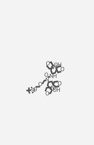 CC(C)(C)[Si](C)(C)OCCOCCN(C(=O)NC1CC2(CCOCC2)N(O)C2(CCOCC2)C1)C1CC2(CCOCC2)N(O)C2(CCOCC2)C1